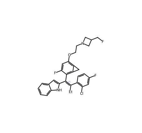 CC/C(=C(\c1cc2ccccc2[nH]1)c1c(F)cc(OCCN2CC(CF)C2)c2c1C2)c1ccc(F)cc1Cl